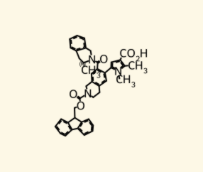 Cc1c(C(=O)O)cc(-c2cc3c(cc2C(=O)N2Cc4ccccc4C[C@H]2C)CN(C(=O)OCC2c4ccccc4-c4ccccc42)CC3)n1C